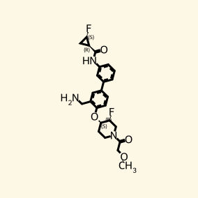 COCC(=O)N1CC[C@H](Oc2ccc(-c3cccc(NC(=O)[C@H]4C[C@@H]4F)c3)cc2CN)[C@H](F)C1